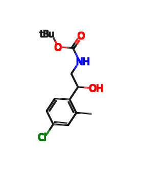 Cc1cc(Cl)ccc1C(O)CNC(=O)OC(C)(C)C